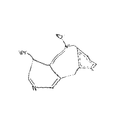 CC(C)C1C=NC=C2C1=[N+]([O-])c1ccsc12